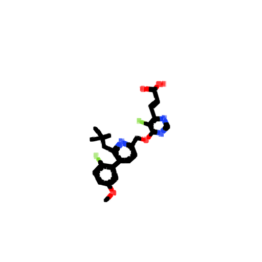 COc1ccc(F)c(-c2ccc(COc3ncnc(C=CC(=O)O)c3F)nc2CC(C)(C)C)c1